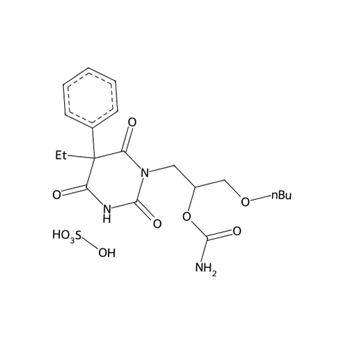 CCCCOCC(CN1C(=O)NC(=O)C(CC)(c2ccccc2)C1=O)OC(N)=O.O=S(=O)(O)O